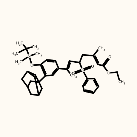 CCOC(=O)C=C(C)CC(C=C(C)c1ccc(O[Si](C)(C)C(C)(C)C)c(C23CC4CC(CC(C4)C2)C3)c1)S(=O)(=O)c1ccccc1